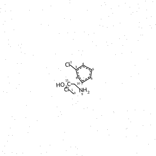 CCl.Clc1ccccc1.NCC(=O)O